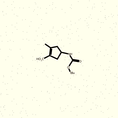 CC1=C(C(=O)O)CC(NC(=O)OC(C)(C)C)C1